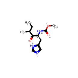 CCC(C)C(=O)[C@H](Cc1cnc[nH]1)NC(=O)OC